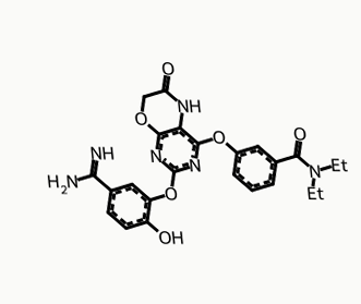 CCN(CC)C(=O)c1cccc(Oc2nc(Oc3cc(C(=N)N)ccc3O)nc3c2NC(=O)CO3)c1